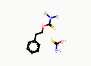 CCN(CC)C(=S)OCCc1ccccc1.NC(O)=S